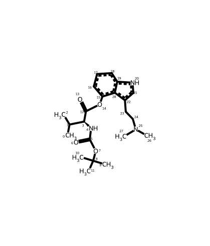 CC(C)[C@H](NC(=O)OC(C)(C)C)C(=O)Oc1cccc2[nH]cc(CCN(C)C)c12